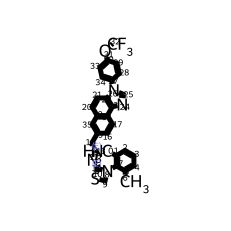 Cc1cccc(C)c1N1CS/C1=N/N=C/c1ccc2c(ccc3c2ncn3-c2ccc(OC(F)(F)F)cc2)c1